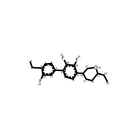 CCc1ccc(-c2ccc(C3CCC(CC)OC3)c(F)c2F)cc1F